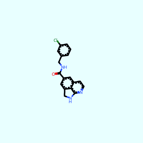 O=C(NCc1cccc(Cl)c1)c1cc2c3c(nccc3c1)NC2